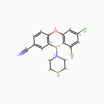 N#Cc1ccc(Oc2cc(Cl)cc(Cl)c2)c(SN2CCSCC2)c1